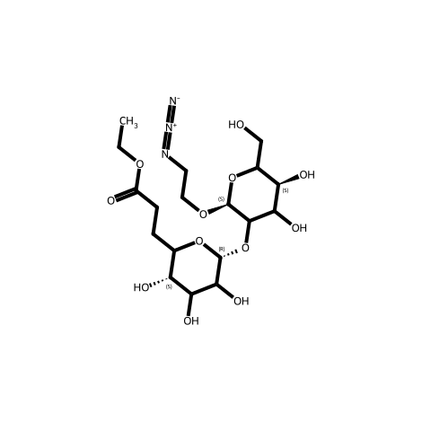 CCOC(=O)CCC1O[C@H](OC2C(O)[C@H](O)C(CO)O[C@@H]2OCCN=[N+]=[N-])C(O)C(O)[C@@H]1O